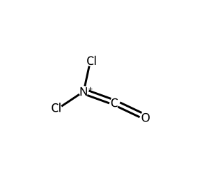 O=C=[N+](Cl)Cl